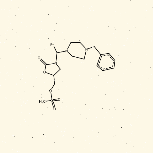 CCC(N1CCN(Cc2ccccc2)CC1)N1CC(COS(C)(=O)=O)OC1=O